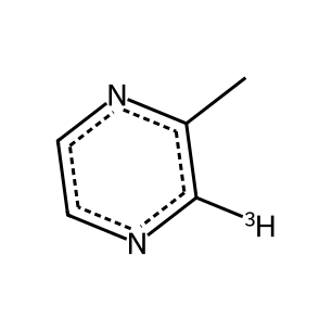 [3H]c1nccnc1C